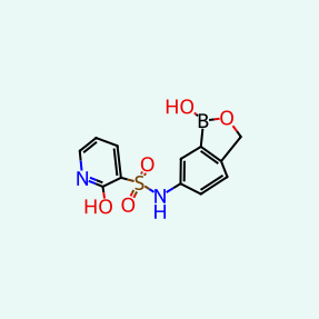 O=S(=O)(Nc1ccc2c(c1)B(O)OC2)c1cccnc1O